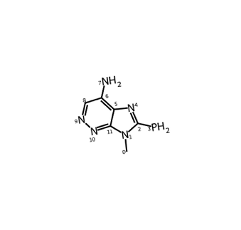 Cn1c(P)nc2c(N)cnnc21